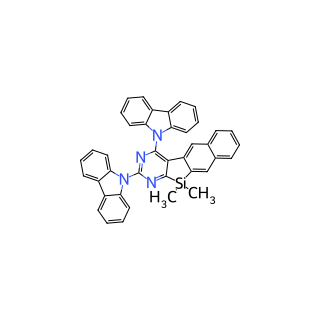 C[Si]1(C)c2cc3ccccc3cc2-c2c(-n3c4ccccc4c4ccccc43)nc(-n3c4ccccc4c4ccccc43)nc21